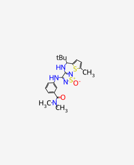 Cc1ccc(C(Nc2n[s+]([O-])nc2Nc2cccc(C(=O)N(C)C)c2)C(C)(C)C)s1